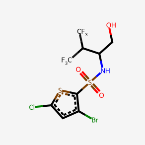 O=S(=O)(NC(CO)C(C(F)(F)F)C(F)(F)F)c1sc(Cl)cc1Br